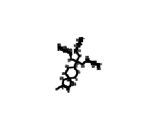 CC1=NOC2(CCC(C(CN=[N+]=[N-])(CN=[N+]=[N-])CN=[N+]=[N-])CC2)C1